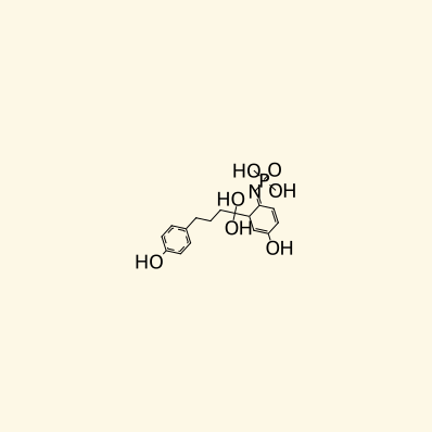 O=P(O)(O)N=C1C=CC(O)=CC1C(O)(O)CCCc1ccc(O)cc1